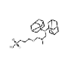 CC(COCCCS(=O)(=O)O)CP(C12CC3CC(CC(C3)C1)C2)C12CC3CC(CC(C3)C1)C2